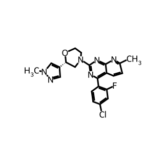 Cc1ccc2c(-c3ccc(Cl)cc3F)nc(N3CCO[C@@H](c4cnn(C)c4)C3)nc2n1